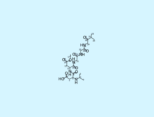 CC(C)NC(CC(=O)O)C(=O)NC(CC(=O)OI)C(=O)NCC(=O)NCC(=O)NCC(=O)C(C)C